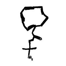 CC(C)(N)CC(=O)c1ccccccccc1